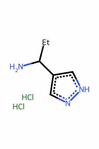 CCC(N)c1cn[nH]c1.Cl.Cl